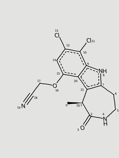 C[C@@H]1C(=O)NCCc2[nH]c3c(Cl)c(Cl)cc(OCC#N)c3c21